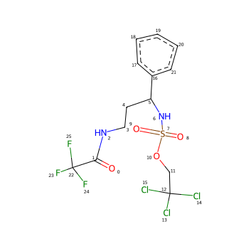 O=C(NCCC(NS(=O)(=O)OCC(Cl)(Cl)Cl)c1ccccc1)C(F)(F)F